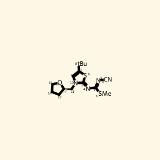 CSC(=NC#N)/N=c1\sc(C(C)(C)C)cn1C[C@H]1CCCO1